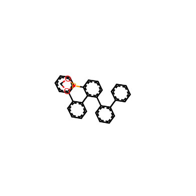 c1ccc(-c2ccccc2-c2cccc(P3OCO3)c2-c2ccccc2-c2ccccc2)cc1